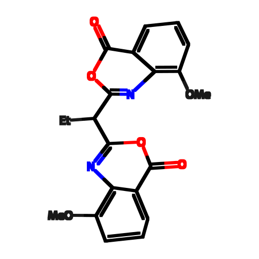 CCC(c1nc2c(OC)cccc2c(=O)o1)c1nc2c(OC)cccc2c(=O)o1